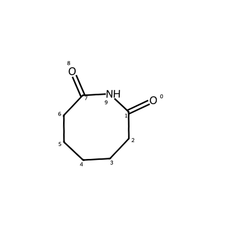 O=C1CCCCCC(=O)N1